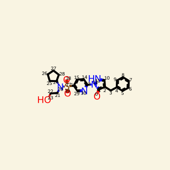 O=c1c(Cc2ccccc2)c[nH]n1-c1ccc(S(=O)(=O)N(CCO)C2CCCC2)cn1